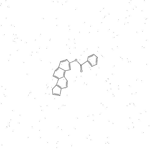 O=C(Oc1ccc2ccc3c4c(ccc3c2c1)C=CC4)c1ccccc1